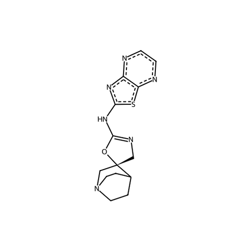 c1cnc2sc(NC3=NC[C@@]4(CN5CCC4CC5)O3)nc2n1